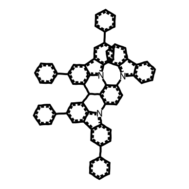 c1ccc(-c2ccc3c(c2)c2cc(-c4ccccc4)cc4c2n3-c2ccc(-n3c5ccccc5c5ccccc53)c3c2C4c2cc(-c4ccccc4)cc4c5cc(-c6ccccc6)ccc5n-3c24)cc1